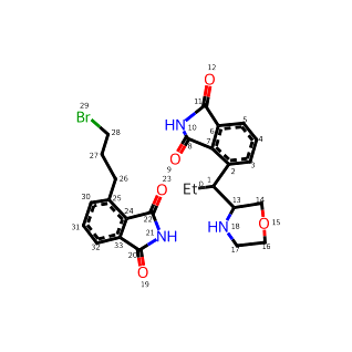 CCC(c1cccc2c1C(=O)NC2=O)C1COCCN1.O=C1NC(=O)c2c(CCCBr)cccc21